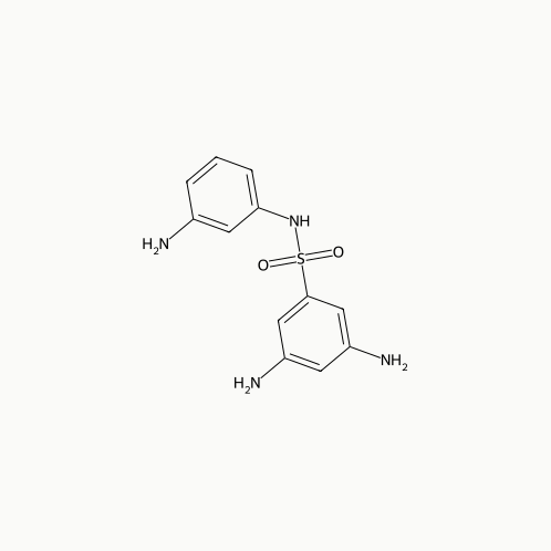 Nc1cccc(NS(=O)(=O)c2cc(N)cc(N)c2)c1